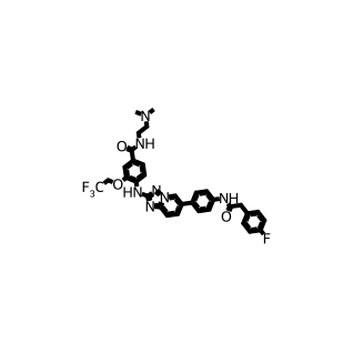 CN(C)CCNC(=O)c1ccc(Nc2nc3ccc(-c4ccc(NC(=O)Cc5ccc(F)cc5)cc4)cn3n2)c(OCC(F)(F)F)c1